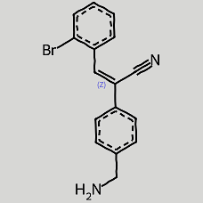 N#C/C(=C\c1ccccc1Br)c1ccc(CN)cc1